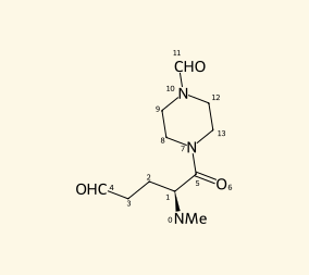 CN[C@@H](CCC=O)C(=O)N1CCN(C=O)CC1